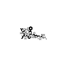 CC[C@H](C)[C@H](NC(=O)[C@@H]1CCCN1C(=O)[C@H](Cc1c[nH]c2ccccc12)NC(=O)[C@@H](N)CCCNC(=N)N)C(=O)N[C@@H](CC(C)C)C(=O)O